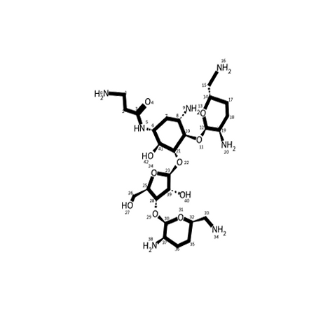 NCCC(=O)N[C@@H]1C[C@H](N)[C@@H](O[C@H]2O[C@H](CN)CC[C@H]2N)[C@H](O[C@@H]2O[C@H](CO)[C@@H](O[C@H]3O[C@@H](CN)CC[C@H]3N)[C@H]2O)[C@H]1O